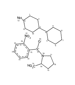 C1CCC(C2CCCCC2)CC1.N.O=C(O)C1CCCN1[S+]([O-])c1ccccc1[N+](=O)[O-]